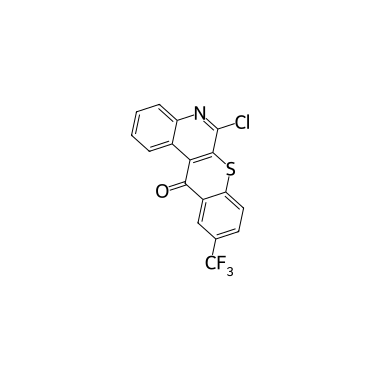 O=c1c2cc(C(F)(F)F)ccc2sc2c(Cl)nc3ccccc3c12